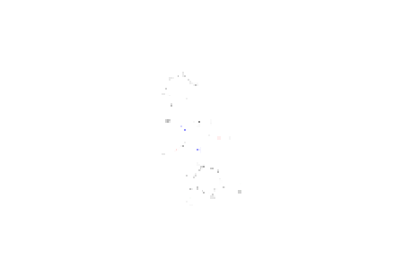 O=C1[C@@H]2Cc3ccccc3CN2C(=O)N1c1cc(Cl)cc(Cl)c1